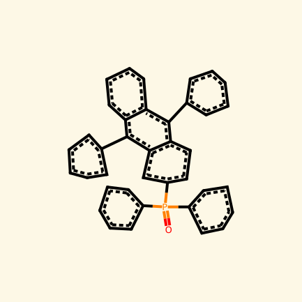 O=P(c1ccccc1)(c1ccccc1)c1ccc2c(-c3ccccc3)c3ccccc3c(-c3ccccc3)c2c1